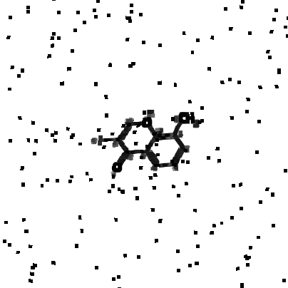 Cc1cccc2c(=O)c(I)coc12